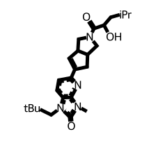 CC(C)CC(O)C(=O)N1CC2C=C(c3ccc4c(n3)n(C)c(=O)n4CC(C)(C)C)CC2C1